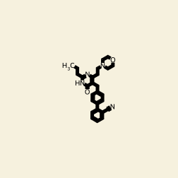 CCCc1nc(CCN2CCOCC2)c(Cc2ccc(-c3ccccc3C#N)cc2)c(=O)[nH]1